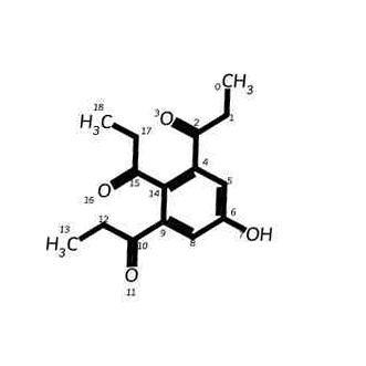 CCC(=O)c1cc(O)cc(C(=O)CC)c1C(=O)CC